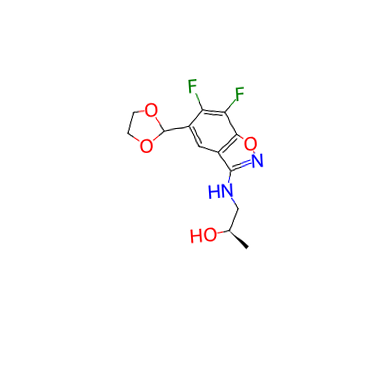 C[C@@H](O)CNc1noc2c(F)c(F)c(C3OCCO3)cc12